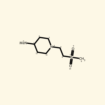 CNC1CCN(CCS(C)(=O)=O)CC1